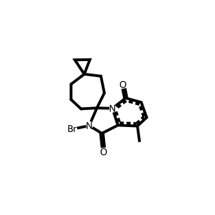 Cc1ccc(=O)n2c1C(=O)N(Br)C21CCCC2(CC2)CC1